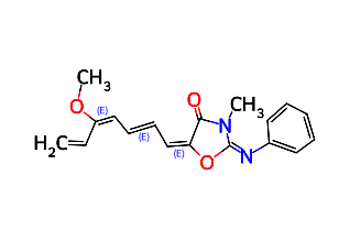 C=C\C(=C/C=C/C=C1/OC(=Nc2ccccc2)N(C)C1=O)OC